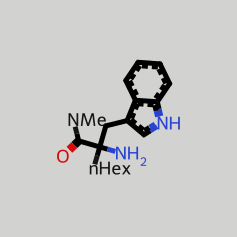 CCCCCCC(N)(Cc1c[nH]c2ccccc12)C(=O)NC